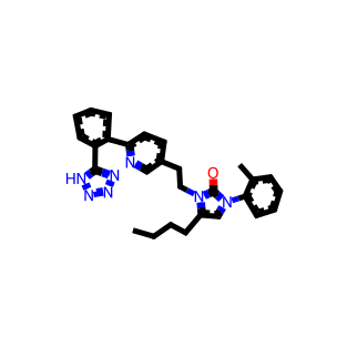 CCCCc1cn(-c2ccccc2C)c(=O)n1CCc1ccc(-c2ccccc2-c2nnn[nH]2)nc1